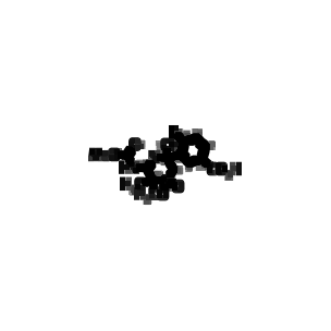 COC(=O)NC1=NC(C)(c2cc(C(=O)O)ccc2F)CS(=O)(=O)C1(C)C